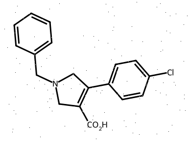 O=C(O)C1=C(c2ccc(Cl)cc2)CN(Cc2ccccc2)C1